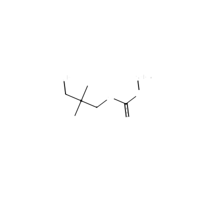 [CH2]CCCCCOC(=O)OCC(C)(C)CO